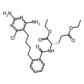 CCOC(=O)CC[C@H](NC(=O)c1ccccc1CCCCc1c(N)nc(N)nc1Cl)C(=O)OCC